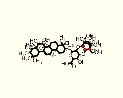 C[C@H]1[C@H](O)[C@@]2(CO)C(CC1(C)C)C1=CCC3[C@@]4(C)CC[C@H](O[C@@H]5OC(C(=O)O)[C@@H](O)[C@@H](O[C@@H]6O[C@@H](CO)C(O)[C@@H]6O)C5O[C@@H]5OC(CO)[C@H](O)[C@@H](O)C5O)C(C)(C)C4CC[C@@]3(C)[C@]1(C)[C@@H](O)[C@H]2O